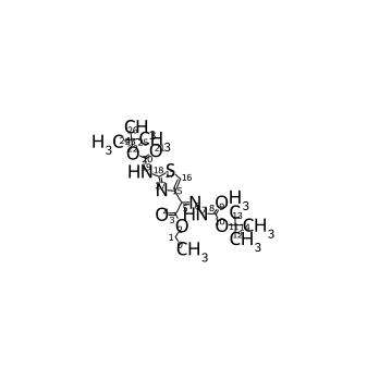 CCOC(=O)C(=NNC(=O)OC(C)(C)C)c1csc(NC(=O)OC(C)(C)C)n1